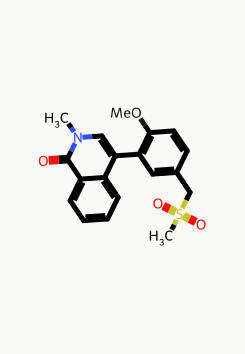 COc1ccc(CS(C)(=O)=O)cc1-c1cn(C)c(=O)c2ccccc12